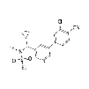 CCN(C(c1cncc(-c2ccc(C#N)c(Cl)c2)c1)C1CC1)S(=O)(=O)CC